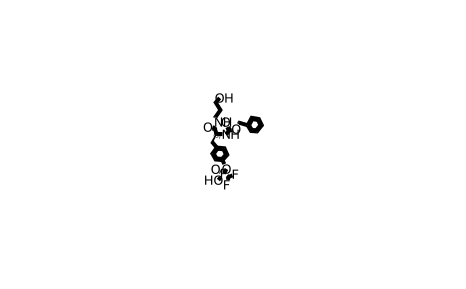 O=C(N[C@@H](Cc1ccc(OP(=O)(O)C(F)F)cc1)C(=O)NCCCO)OCc1ccccc1